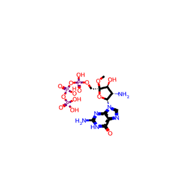 CO[C@]1(COP(=O)(O)OP(=O)(O)OP(=O)(O)O)O[C@@H](n2cnc3c(=O)[nH]c(N)nc32)[C@@H](N)[C@@H]1O